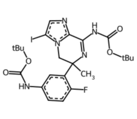 CC(C)(C)OC(=O)NC1=NC(C)(c2cc(NC(=O)OC(C)(C)C)ccc2F)Cn2c(I)cnc21